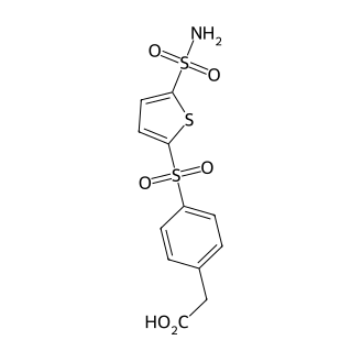 NS(=O)(=O)c1ccc(S(=O)(=O)c2ccc(CC(=O)O)cc2)s1